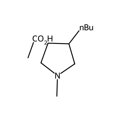 CC(=O)O.CCCCC1CCN(C)C1